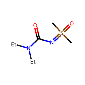 CCN(CC)C(=O)N=S(C)(C)=O